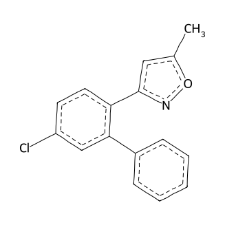 Cc1cc(-c2ccc(Cl)cc2-c2ccccc2)no1